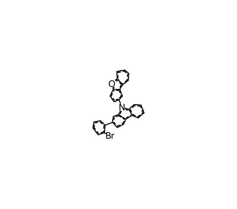 Brc1ccccc1-c1ccc2c3ccccc3n(-c3ccc4oc5ccccc5c4c3)c2c1